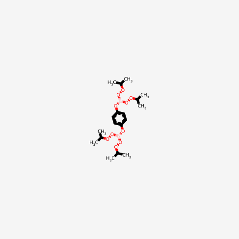 CC(C)OOB(OOC(C)C)Oc1ccc(OB(OOC(C)C)OOC(C)C)cc1